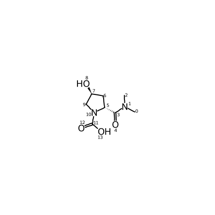 CN(C)C(=O)[C@H]1C[C@H](O)CN1C(=O)O